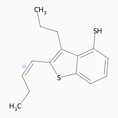 CC/C=C\c1sc2cccc(S)c2c1CCC